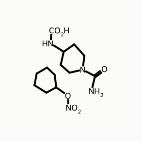 NC(=O)N1CCC(NC(=O)O)CC1.O=[N+]([O-])OC1CCCCC1